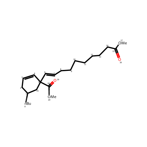 CCCCC1CC=CC(C=CCCCCCCCC(=O)OC)(C(=O)OC)C1